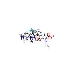 COC(=O)[C@@H](N)Cc1cccc2c(-c3c(C(F)(F)F)c4ccc(N(C)C)cc4n(C)c3=O)cccc12